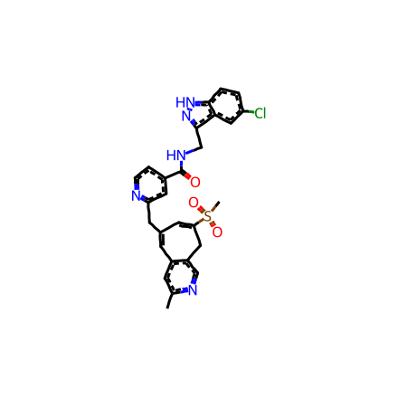 Cc1cc2c(cn1)CC(S(C)(=O)=O)=CC(Cc1cc(C(=O)NCc3n[nH]c4ccc(Cl)cc34)ccn1)=C2